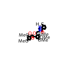 COc1cc(OC)c2c(=O)c(OCCCn3cnc4c(C)cccc4c3=O)c(-c3cc(OC)c(OC)c(OC)c3)oc2c1